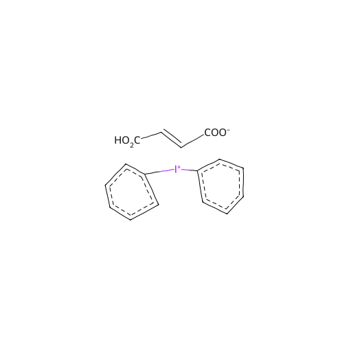 O=C([O-])C=CC(=O)O.c1ccc([I+]c2ccccc2)cc1